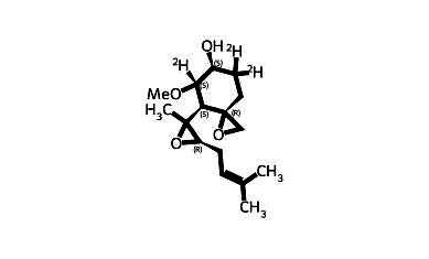 [2H]C1([2H])C[C@]2(CO2)[C@@H](C2(C)O[C@@H]2CC=C(C)C)[C@]([2H])(OC)[C@H]1O